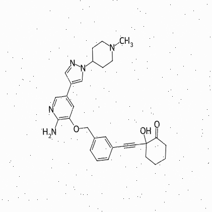 CN1CCC(n2cc(-c3cnc(N)c(OCc4cccc(C#CC5(O)CCCCC5=O)c4)c3)cn2)CC1